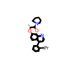 CC(C)c1ccccc1-c1ccnc2cc(O[C@H](C)C(=O)N3CCCCC3)ccc12